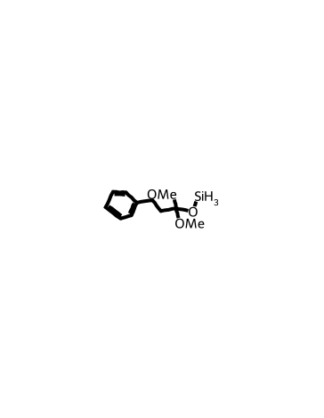 COC(CCc1ccccc1)(OC)O[SiH3]